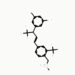 CNCc1ccc(/C=C/C(c2cc(Cl)cc(Cl)c2)C(F)(F)F)cc1C(F)(F)F